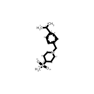 CC(C)c1ccc(CN2CCC(S(C)(=O)=O)CC2)cc1